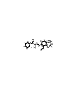 C=Cc1c(/C=N/NC(=O)c2ccccc2)ccc(O)c1/N=C\C